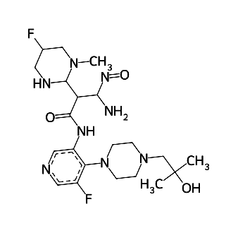 CN1CC(F)CNC1C(C(=O)Nc1cncc(F)c1N1CCN(CC(C)(C)O)CC1)C(N)N=O